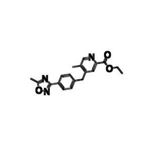 CCOC(=O)c1cc(Cc2ccc(-c3noc(C)n3)cc2)c(C)cn1